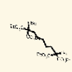 CCCCC(CCCCCC(CCCC)(C(=O)OCC)C(=O)OCC)(C(=O)OCC)C(=O)OCC